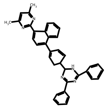 Cc1cc(C)nc(-c2ccc(C3=CCC(C4N=C(c5ccccc5)N=C(c5ccccc5)N4)C=C3)c3ccccc23)n1